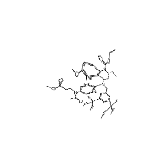 CCOC(=O)N1c2ccc(OC)nc2[C@@H](N(Cc2cc(C(F)(F)F)cc(C(F)(F)F)c2)c2ncc(N(CCC(=O)OC)C(C)=O)cn2)C[C@H]1CC